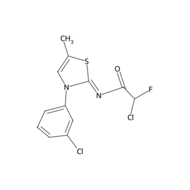 Cc1cn(-c2cccc(Cl)c2)c(=NC(=O)C(F)Cl)s1